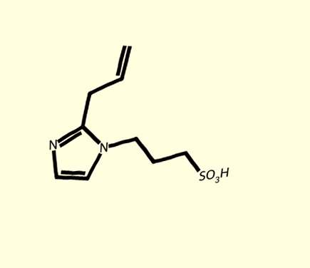 C=CCc1nccn1CCCS(=O)(=O)O